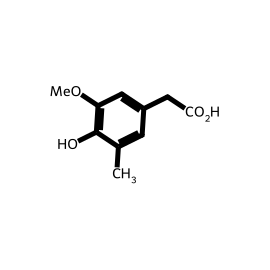 COc1cc(CC(=O)O)cc(C)c1O